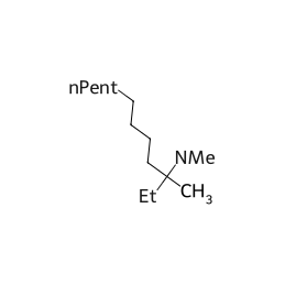 CCCCCCCCCC(C)(CC)NC